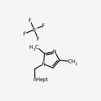 CCCCCCCCn1cc(C)nc1C.F[B-](F)(F)F